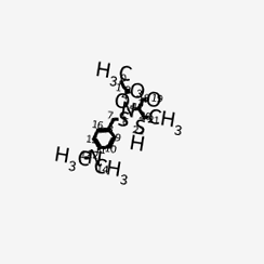 CCC(=O)ON(SCc1ccc(N(C)C)cc1)C(C=O)C(C)S